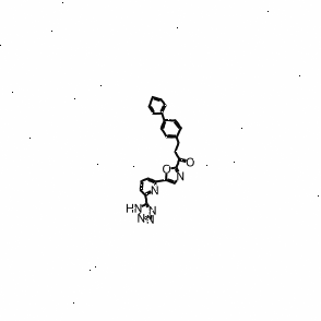 O=C(CCc1ccc(-c2ccccc2)cc1)c1ncc(-c2cccc(-c3nnn[nH]3)n2)o1